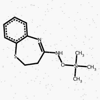 C[Si](C)(C)ONC1=Nc2ccccc2SCC1